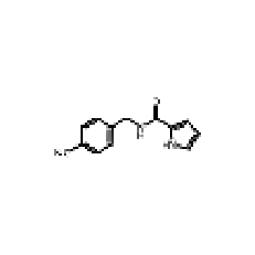 N#Cc1ccc(CNC(=O)c2ccc[nH]2)cc1